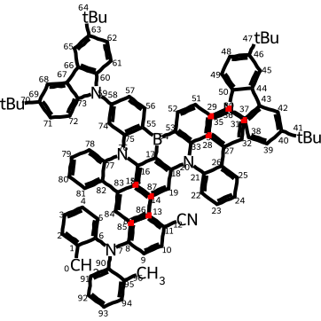 Cc1ccccc1N(c1ccc(C#N)c(-c2cc3c4c(c2)N(c2ccccc2-c2ccccc2)c2cc(-n5c6ccc(C(C)(C)C)cc6c6cc(C(C)(C)C)ccc65)ccc2B4c2ccc(-n4c5ccc(C(C)(C)C)cc5c5cc(C(C)(C)C)ccc54)cc2N3c2ccccc2-c2ccccc2)c1)c1ccccc1C